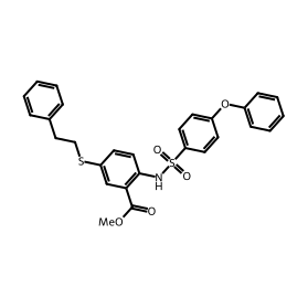 COC(=O)c1cc(SCCc2ccccc2)ccc1NS(=O)(=O)c1ccc(Oc2ccccc2)cc1